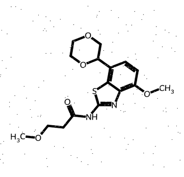 COCCC(=O)Nc1nc2c(OC)ccc(C3COCCO3)c2s1